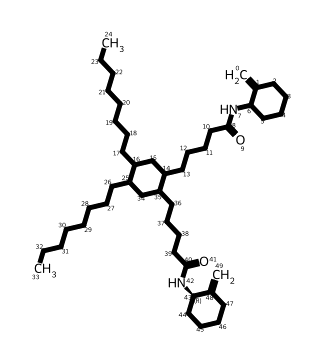 C=C1CCCCC1NC(=O)CCCCC1CC(CCCCCCCC)C(CCCCCCCC)CC1CCCCC(=O)N[C@@H]1CCCCC1=C